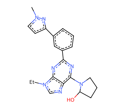 CCn1cnc2c(N3CCCC3O)nc(-c3cccc(-c4ccn(C)n4)c3)nc21